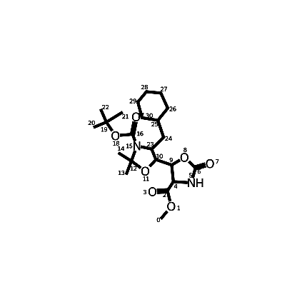 COC(=O)C1NC(=O)OC1C1OC(C)(C)N(C(=O)OC(C)(C)C)C1CC1CCCCC1